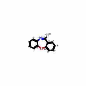 [2H]C1=Nc2ccccc2Oc2ccccc21